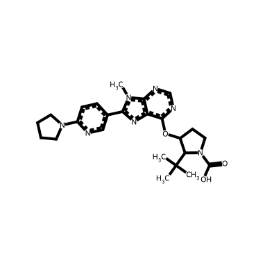 Cn1c(-c2ccc(N3CCCC3)nc2)nc2c(OC3CCN(C(=O)O)C3C(C)(C)C)ncnc21